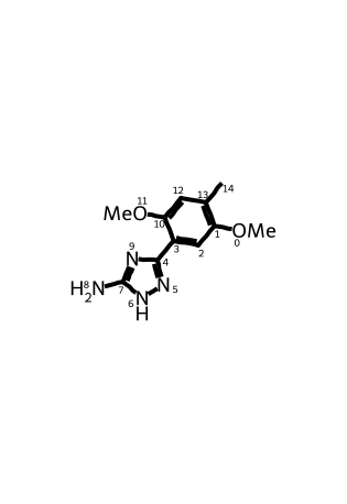 COc1cc(-c2n[nH]c(N)n2)c(OC)cc1C